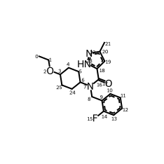 CCOC1CCC(N(Cc2ccccc2F)C(=O)c2cc(C)n[nH]2)CC1